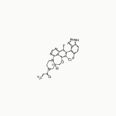 C=CC(=O)N1CCN2c3ncnc4c(F)c(-c5c(F)ccc6[nH]nnc56)c(Cl)c(c34)OC[C@@H]2C1